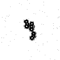 c1cc2c3c(c1)-n1c4ccccc4c4cccc(c41)B3c1ccc(-c3ccc4sc5ccccc5c4c3)cc1O2